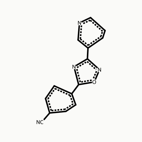 N#Cc1ccc(-c2nc(-c3cccnc3)no2)cc1